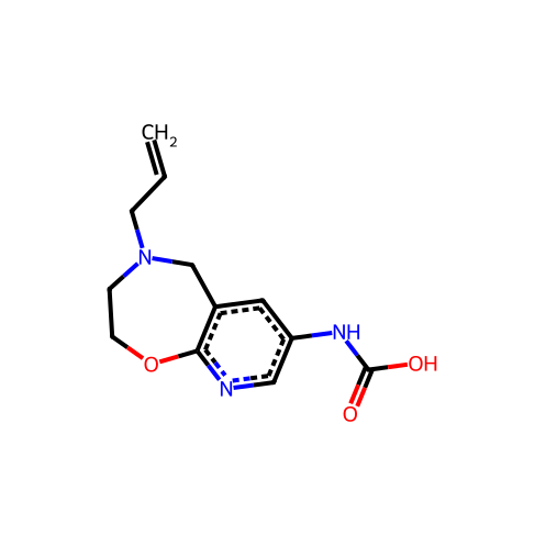 C=CCN1CCOc2ncc(NC(=O)O)cc2C1